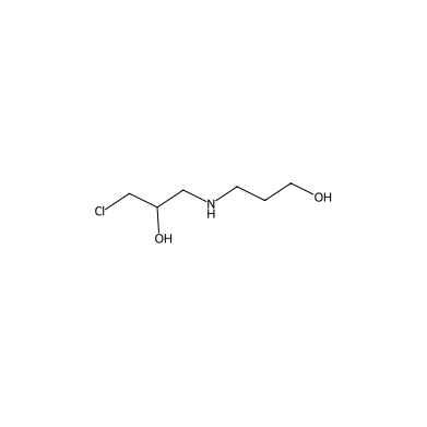 OCCCNCC(O)CCl